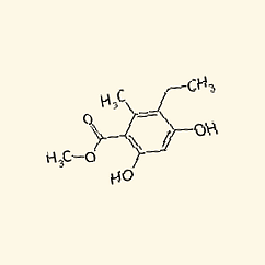 CCc1c(O)cc(O)c(C(=O)OC)c1C